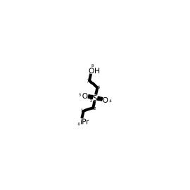 CC(C)CCS(=O)(=O)CCO